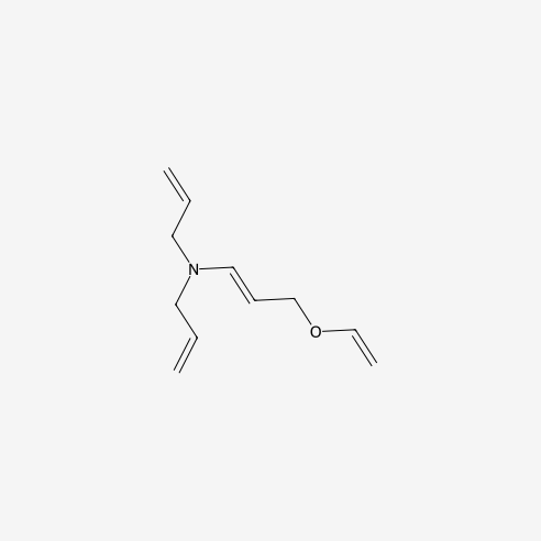 C=CCN(C=CCOC=C)CC=C